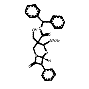 CC(=O)NC1S[C@@H]2C(c3ccccc3)C(=O)N2CC1(CO)C(=O)OC(c1ccccc1)c1ccccc1